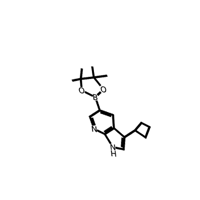 CC1(C)OB(c2cnc3[nH]cc(C4CCC4)c3c2)OC1(C)C